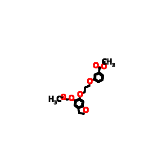 COCOc1cc2c(cc1OCCCOc1cccc(C(=O)OC)c1)OCC2